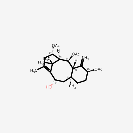 C=C1[C@@H](OC(C)=O)CC[C@@]2(C)C[C@H](O)C3=C(C)C[C@H](OC(C)=O)[C@@H]([C@@H](OC(C)=O)[C@H]12)C3(C)C